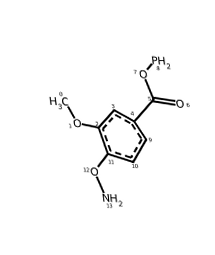 COc1cc(C(=O)OP)ccc1ON